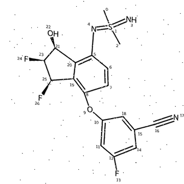 CS(C)(=N)=Nc1ccc(Oc2cc(F)cc(C#N)c2)c2c1[C@H](O)[C@H](F)[C@@H]2F